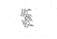 CC(C)(C)[Si](C)(C)CC(C)(C)[Si](C)(C)O[Si](C)(C)C(C)(C)C[Si](C)(C)C(C)(C)C